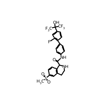 CS(=O)(=O)c1ccc2c(c1)CCNC2C(=O)Nc1ccc(-c2ccc(C(O)(C(F)(F)F)C(F)(F)F)cc2F)cc1